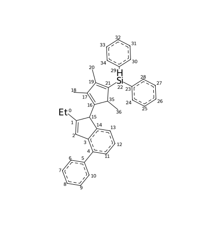 CCC1=Cc2c(-c3ccccc3)cccc2C1C1=C(C)C(C)=C([SiH](c2ccccc2)c2ccccc2)C1C